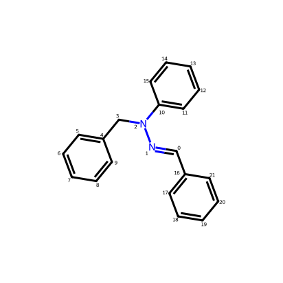 C(=NN(Cc1ccccc1)c1ccccc1)c1ccccc1